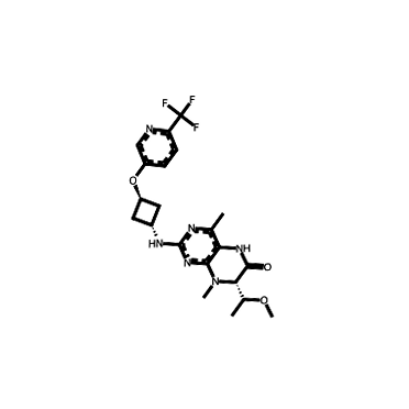 COC(C)[C@H]1C(=O)Nc2c(C)nc(N[C@H]3C[C@H](Oc4ccc(C(F)(F)F)nc4)C3)nc2N1C